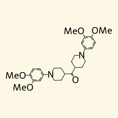 COc1ccc(N2CCC(C(=O)C3CCN(c4ccc(OC)c(OC)c4)CC3)CC2)cc1OC